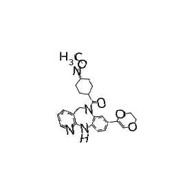 CON=C1CCC(C(=O)N2Cc3cccnc3Nc3ccc(C4=COCCO4)cc32)CC1